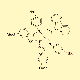 COc1ccc2c3c(oc2c1)B1c2oc4cc(OC)ccc4c2N(c2ccc(C(C)(C)C)cc2)c2cc(-n4c5ccccc5c5ccccc54)cc(c21)N3c1ccc(C(C)(C)C)cc1